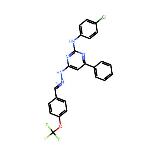 FC(F)(F)Oc1ccc(/C=N/Nc2cc(-c3ccccc3)nc(Nc3ccc(Cl)cc3)n2)cc1